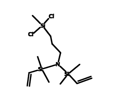 C=C[Si](C)(C)N(CCC[Si](C)(Cl)Cl)[Si](C)(C)C=C